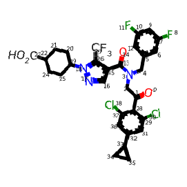 O=C(CN(Cc1cc(F)cc(F)c1)C(=O)c1cnn(C2CCC(C(=O)O)CC2)c1C(F)(F)F)c1c(Cl)cc(C2CC2)cc1Cl